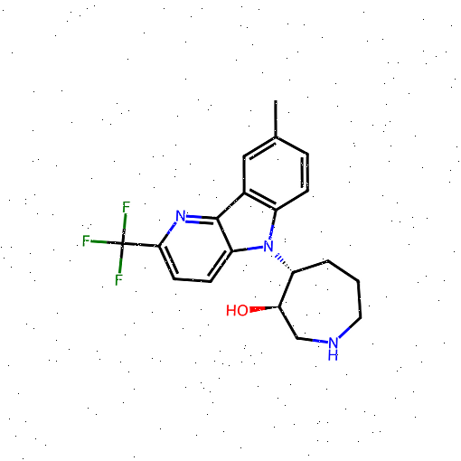 Cc1ccc2c(c1)c1nc(C(F)(F)F)ccc1n2[C@@H]1CCCNC[C@H]1O